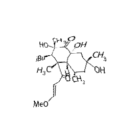 CCC(C)[C@@H]1[C@@](C)(C(=O)/C=C/OC)[C@H]2[C@H](C)C[C@@](C)(O)C[C@]2(O)C(=O)[C@@]1(C)O